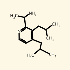 CC(C)Cc1ccnc(C(C)N)c1CC(C)C